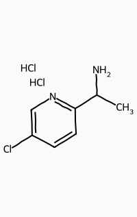 CC(N)c1ccc(Cl)cn1.Cl.Cl